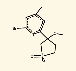 COC1(c2cc(C)cc(Br)n2)CCS(=O)(=O)C1